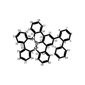 c1ccc(-c2ccccc2-c2cc3c4c(c2)-c2ccccc2N2B4N(c4ccccc4-c4ccccc42)c2ccccc2-3)cc1